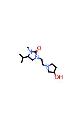 CC(C)C1CN(CCN2CCC(O)C2)C(=O)N1C